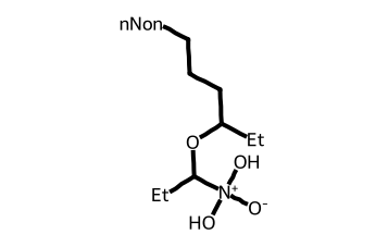 CCCCCCCCCCCCC(CC)OC(CC)[N+]([O-])(O)O